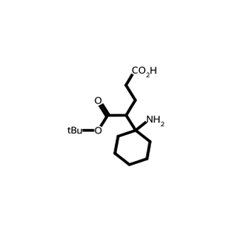 CC(C)(C)OC(=O)C(CCC(=O)O)C1(N)CCCCC1